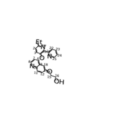 CCc1ccc(Oc2ccnc3ccc(OCCO)cc23)c(-c2ccccn2)n1